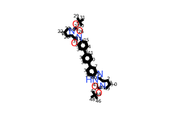 C[C@H]1CC(c2nc3cc(-c4ccc(-c5ccc6nc(C7C[C@H](C)CN7C(=O)OC(C)(C)C)oc6c5)cc4)ccc3[nH]2)N(C(=O)OC(C)(C)C)C1